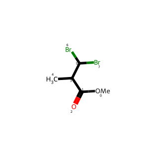 COC(=O)C(C)C(Br)Br